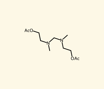 CC(=O)OCCN(C)CN(C)CCOC(C)=O